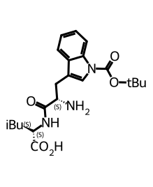 CC[C@H](C)[C@H](NC(=O)[C@@H](N)Cc1cn(C(=O)OC(C)(C)C)c2ccccc12)C(=O)O